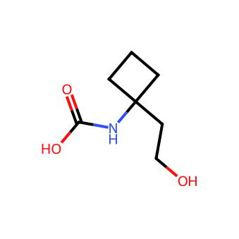 O=C(O)NC1(CCO)CCC1